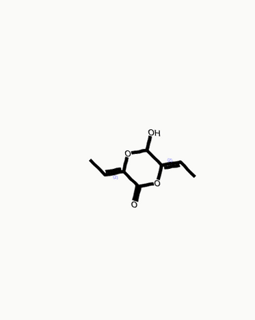 C/C=C1\OC(O)/C(=C/C)OC1=O